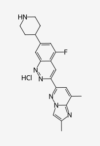 Cc1cn2nc(-c3cc4c(F)cc(C5CCNCC5)cc4nn3)cc(C)c2n1.Cl